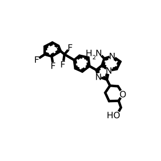 Nc1nccn2c(C3CCC(CO)OC3)nc(-c3ccc(C(F)(F)c4cccc(F)c4F)cc3)c12